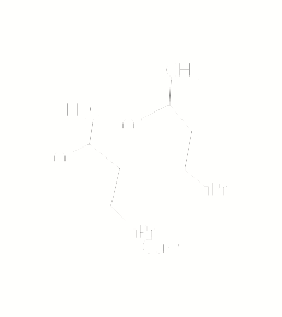 CC(C)CCC(C)[O-].CC(C)CCC(C)[O-].[Cu+2]